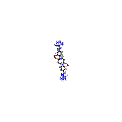 COc1cc(N=Nc2n(C)nc[n+]2C)ccc1N1CCCN(c2ccc(N=Nc3n(C)nc[n+]3C)cc2OC)CCC1